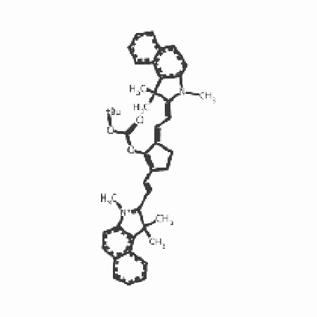 CN1/C(=C/C=C2\CCC(/C=C/C3=[N+](C)c4ccc5ccccc5c4C3(C)C)=C2OC(=O)OC(C)(C)C)C(C)(C)c2c1ccc1ccccc21